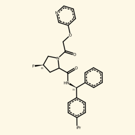 CC(C)c1ccc([C@@H](NC(=O)C2C[C@@H](F)CN2C(=O)COc2cccnc2)c2ccccc2)cc1